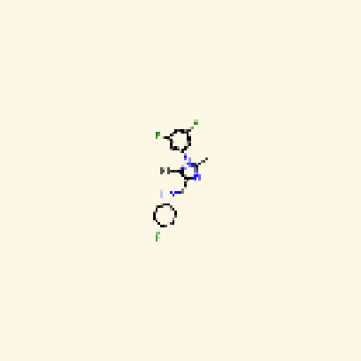 CCc1c(CN[C@H]2CC[C@@H](F)CC2)nc(C)n1-c1cc(F)cc(F)c1